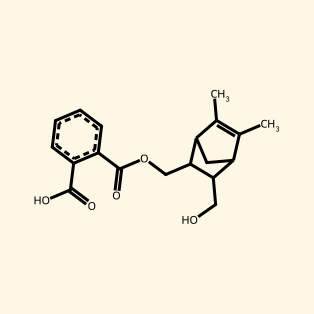 CC1=C(C)C2CC1C(CO)C2COC(=O)c1ccccc1C(=O)O